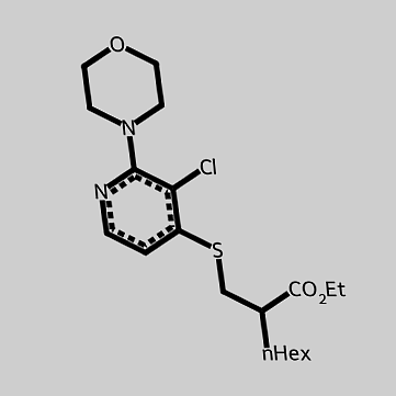 CCCCCCC(CSc1ccnc(N2CCOCC2)c1Cl)C(=O)OCC